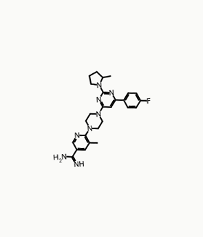 Cc1cc(C(=N)N)cnc1N1CCN(c2cc(-c3ccc(F)cc3)nc(N3CCCC3C)n2)CC1